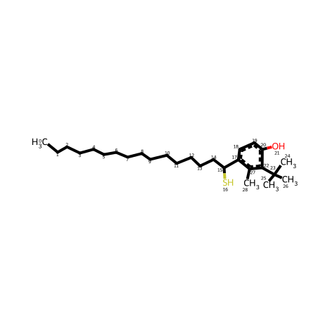 CCCCCCCCCCCCCCCC(S)c1ccc(O)c(C(C)(C)C)c1C